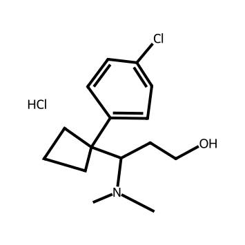 CN(C)C(CCO)C1(c2ccc(Cl)cc2)CCC1.Cl